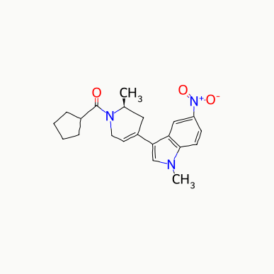 C[C@H]1CC(c2cn(C)c3ccc([N+](=O)[O-])cc23)=CCN1C(=O)C1CCCC1